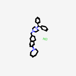 C1=C(CN2CCN(C(c3ccccc3)c3ccccc3)CC2)CCc2cc(N3CCCCCC3)ccc21.Cl